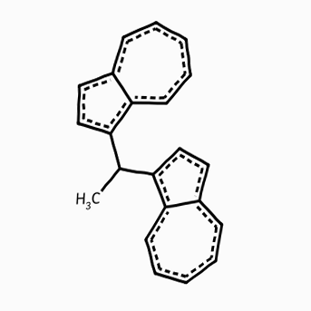 CC(c1ccc2cccccc1-2)c1ccc2cccccc1-2